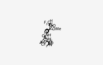 COC[C@H](c1ccnc(NC(=O)[C@H](COC(C)(C)C(F)(F)F)NC(=O)c2nonc2C)c1)N1C[C@@H](C(F)(F)F)NC1=O